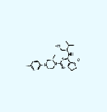 Cc1ccc(N2CCN(c3nc4c(c(N[C@@H](CO)C(C)C)n3)[S+]([O-])CC4)[C@H](C)C2)cc1